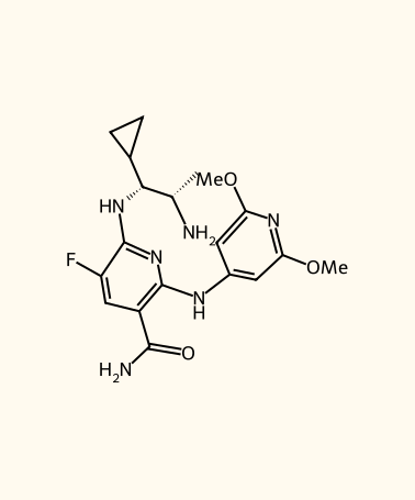 COc1cc(Nc2nc(N[C@H](C3CC3)[C@H](C)N)c(F)cc2C(N)=O)cc(OC)n1